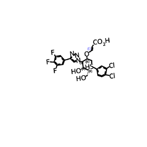 O=C(O)/C=C/O[C@H]1C[SH](c2ccc(Cl)c(Cl)c2)[C@H](CO)[C@H](O)[C@@H]1n1cc(-c2cc(F)c(F)c(F)c2)nn1